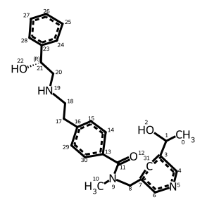 CC(O)c1cncc(CN(C)C(=O)c2ccc(CCNC[C@H](O)c3ccccc3)cc2)c1